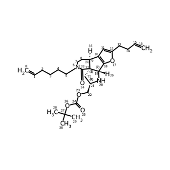 C=CCCCCN1CC[C@H]2c3cc(CCC=C)oc3[C@@H]3N[C@@H](COC(=O)OC(C)(C)C)C[C@]23C1=O